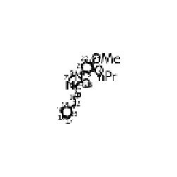 CCCOc1cc(-n2ccnc(SCCc3ccccc3)c2=O)ccc1OC